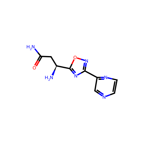 NC(=O)C[C@H](N)c1nc(-c2cnccn2)no1